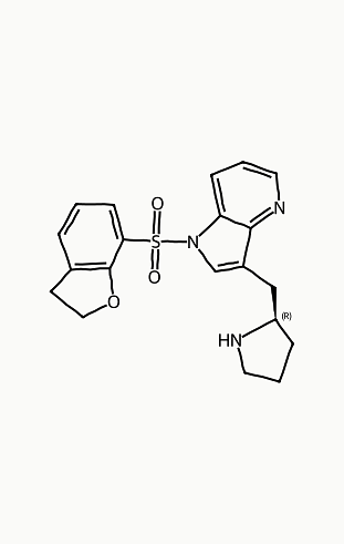 O=S(=O)(c1cccc2c1OCC2)n1cc(C[C@H]2CCCN2)c2ncccc21